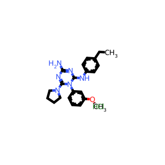 CCc1ccc(NC2N=C(N)N=C(N3CCCC3)N2c2cccc(OC)c2)cc1.Cl